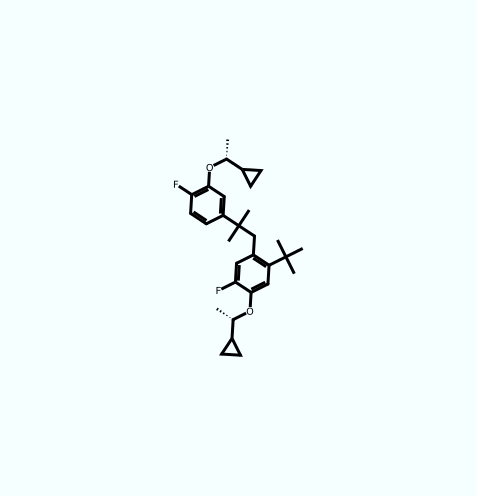 C[C@H](Oc1cc(C(C)(C)C)c(CC(C)(C)c2ccc(F)c(O[C@H](C)C3CC3)c2)cc1F)C1CC1